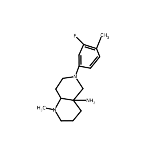 Cc1ccc(N2CCC3N(C)CCCC3(N)C2)cc1F